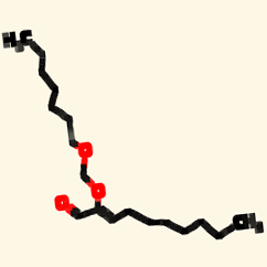 CCCCCCCC=C(C=O)OCOCCCCCCC